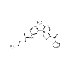 CCCOC(=O)Nc1cccc(-c2c(C)cnc3c(C(=O)c4cccs4)cnn23)c1